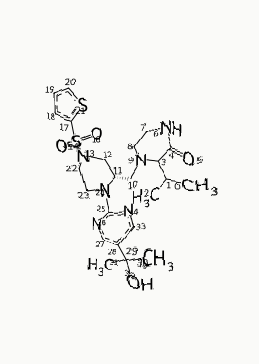 CC(C)C1C(=O)NCCN1C[C@H]1CN(S(=O)(=O)c2cccs2)CCN1c1ncc(C(C)(C)O)cn1